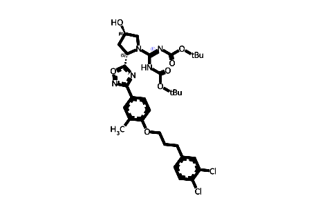 Cc1cc(-c2noc([C@@H]3C[C@@H](O)CN3/C(=N/C(=O)OC(C)(C)C)NC(=O)OC(C)(C)C)n2)ccc1OCCCc1ccc(Cl)c(Cl)c1